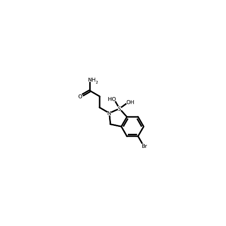 NC(=O)CCN1Cc2cc(Br)ccc2S1(O)O